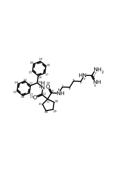 N=C(N)NCCCCNC(=O)C1(C(=O)NC(c2ccccc2)c2ccccc2)CCCC1